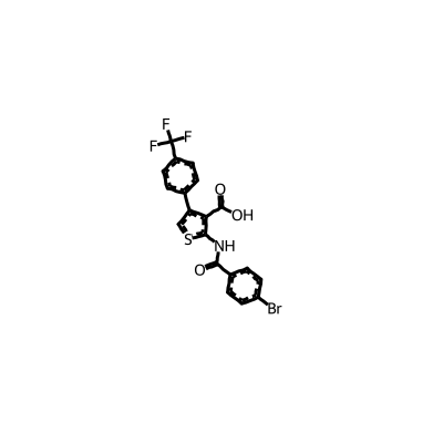 O=C(Nc1scc(-c2ccc(C(F)(F)F)cc2)c1C(=O)O)c1ccc(Br)cc1